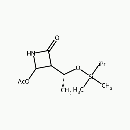 CC(=O)OC1NC(=O)C1[C@@H](C)O[Si](C)(C)C(C)C